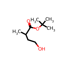 CC(CCO)C(=O)OC(C)(C)C